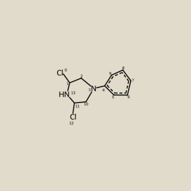 ClC1CN(c2ccccc2)CC(Cl)N1